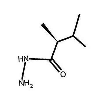 CC(C)[C@H](C)C(=O)NN